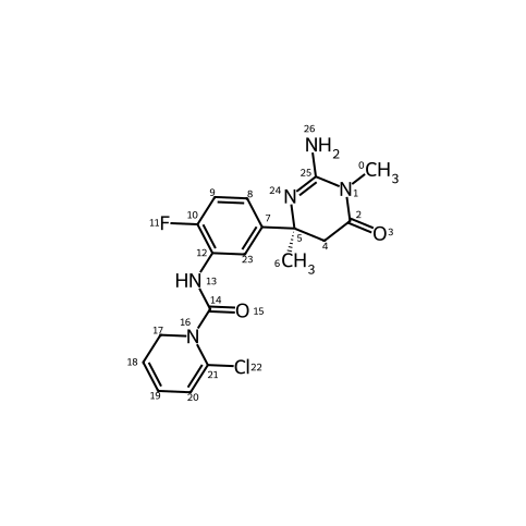 CN1C(=O)C[C@@](C)(c2ccc(F)c(NC(=O)N3CC=CC=C3Cl)c2)N=C1N